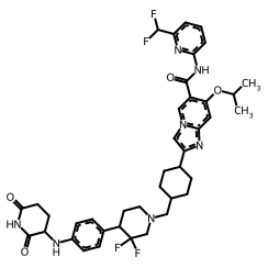 CC(C)Oc1cc2nc(C3CCC(CN4CCC(c5ccc(NC6CCC(=O)NC6=O)cc5)C(F)(F)C4)CC3)cn2cc1C(=O)Nc1cccc(C(F)F)n1